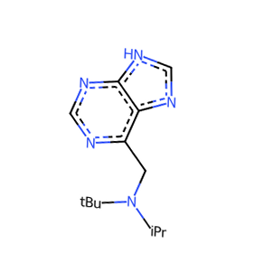 CC(C)N(Cc1ncnc2[nH]cnc12)C(C)(C)C